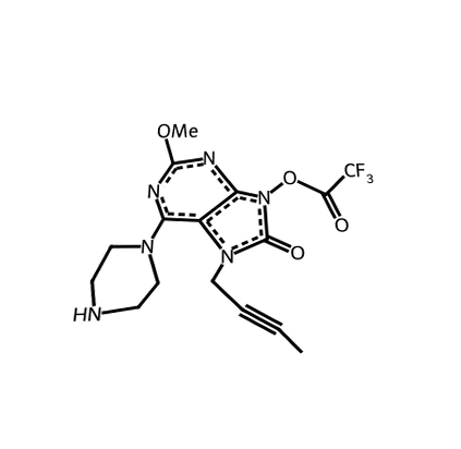 CC#CCn1c(=O)n(OC(=O)C(F)(F)F)c2nc(OC)nc(N3CCNCC3)c21